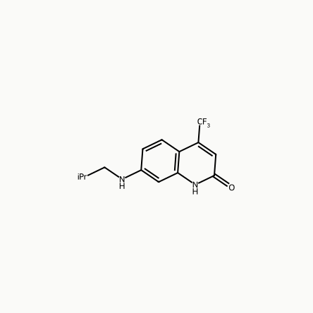 CC(C)CNc1ccc2c(C(F)(F)F)cc(=O)[nH]c2c1